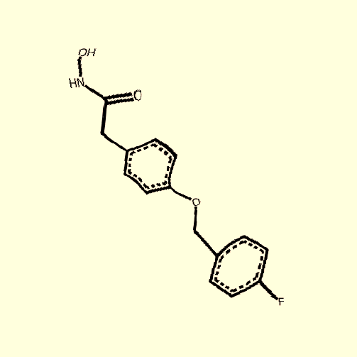 O=C(Cc1ccc(OCc2ccc(F)cc2)cc1)NO